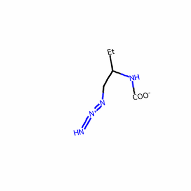 CCC(CN=[N+]=N)NC(=O)[O-]